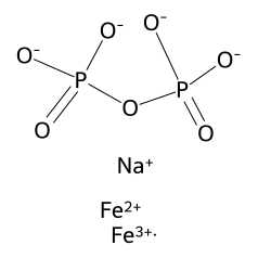 O=P([O-])([O-])OP(=O)([O-])[O-].[Fe+2].[Fe+3].[Na+]